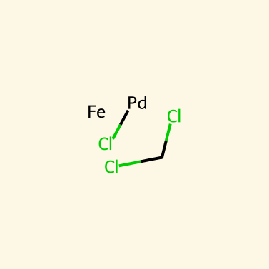 ClCCl.[Cl][Pd].[Fe]